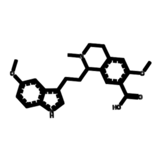 COc1ccc2[nH]cc(CCC3c4cc(C(=O)O)c(OC)cc4CCN3C)c2c1